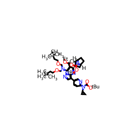 C=C(OCC)c1c([C@@H]2C[C@H]3CC[C@@H](C2)N3C(=O)OC(C)(C)C)nc2c(-c3ccc(N(C(=O)OC(C)(C)C)C4CC4)nc3)cnn2c1N(COCC[Si](C)(C)C)COCC[Si](C)(C)C